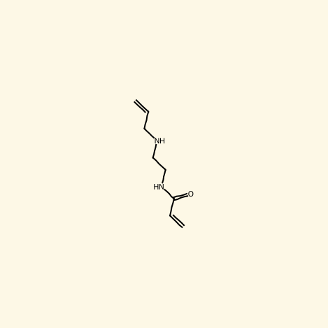 C=CCNCCNC(=O)C=C